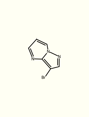 Brc1cnn2c[c]cnc12